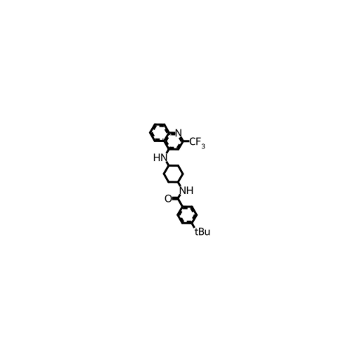 CC(C)(C)c1ccc(C(=O)NC2CCC(Nc3cc(C(F)(F)F)nc4ccccc34)CC2)cc1